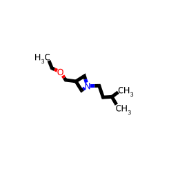 CCOCC1CN(CCC(C)C)C1